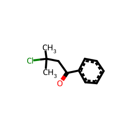 CC(C)(Cl)CC(=O)c1ccccc1